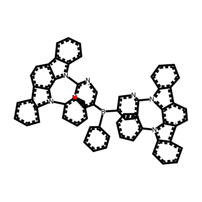 c1ccc(B(c2cnc(-n3c4ccccc4c4ccc5c6ccccc6n(-c6ccccc6)c5c43)nc2)c2cnc(-n3c4ccccc4c4ccc5c6ccccc6n(-c6ccccc6)c5c43)nc2)cc1